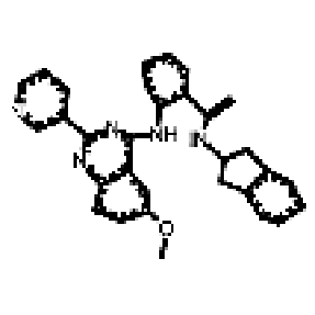 C=C(NC1Cc2ccccc2C1)c1ccccc1Nc1nc(-c2cccnc2)nc2ccc(OC)cc12